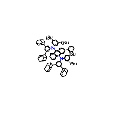 CC(C)(C)c1cc(N(c2cc(C3C4CC5CC(C4)CC3C5)cc(C3C4CC5CC(C4)CC3C5)c2)c2c3ccccc3c(N(c3cc(C4C5CC6CC(C5)CC4C6)cc(C4C5CC6CC(C5)CC4C6)c3)c3cc(C(C)(C)C)cc(C(C)(C)C)c3)c3cc(-c4ccccc4)ccc23)cc(C(C)(C)C)c1